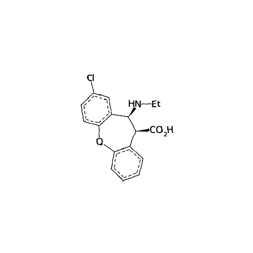 CCN[C@@H]1c2cc(Cl)ccc2Oc2ccccc2[C@@H]1C(=O)O